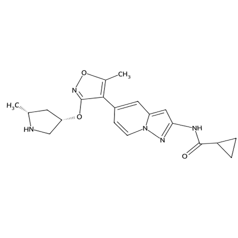 Cc1onc(O[C@@H]2CN[C@H](C)C2)c1-c1ccn2nc(NC(=O)C3CC3)cc2c1